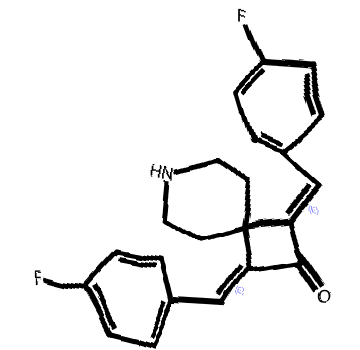 O=C1/C(=C/c2ccc(F)cc2)C2(CCNCC2)/C1=C\c1ccc(F)cc1